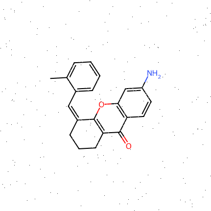 Cc1ccccc1/C=C1/CCCc2c1oc1cc(N)ccc1c2=O